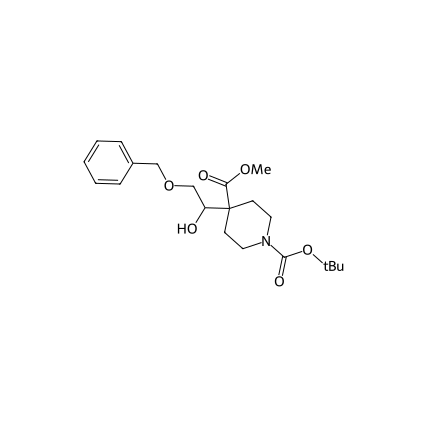 COC(=O)C1(C(O)COCc2ccccc2)CCN(C(=O)OC(C)(C)C)CC1